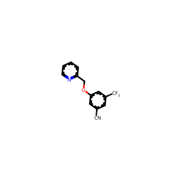 N#Cc1cc(OCc2ccccn2)cc(C(F)(F)F)c1